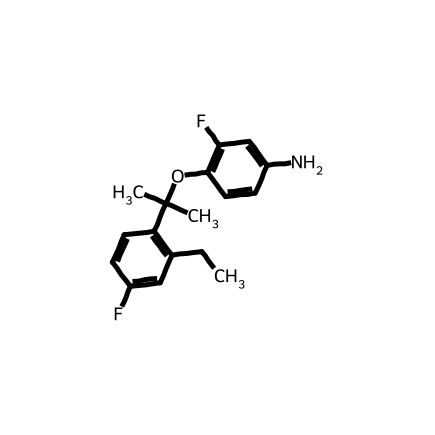 CCc1cc(F)ccc1C(C)(C)Oc1ccc(N)cc1F